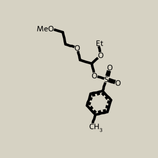 CCOC(COCCOC)OS(=O)(=O)c1ccc(C)cc1